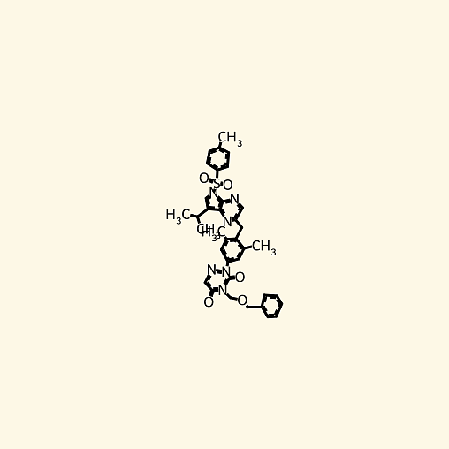 Cc1ccc(S(=O)(=O)n2cc(C(C)C)c3nc(Cc4c(C)cc(-n5ncc(=O)n(COCc6ccccc6)c5=O)cc4C)cnc32)cc1